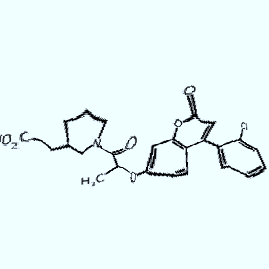 CC(Oc1ccc2c(-c3ccccc3Cl)cc(=O)oc2c1)C(=O)N1CCCC(CC(=O)O)C1